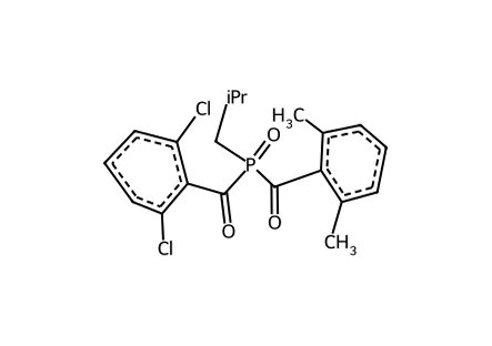 Cc1cccc(C)c1C(=O)P(=O)(CC(C)C)C(=O)c1c(Cl)cccc1Cl